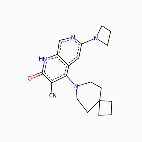 N#Cc1c(N2CCC3(CCC3)CC2)c2cc(N3CCC3)ncc2[nH]c1=O